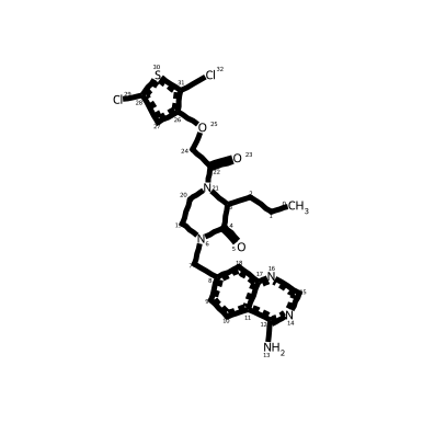 CCCC1C(=O)N(Cc2ccc3c(N)ncnc3c2)CCN1C(=O)COc1cc(Cl)sc1Cl